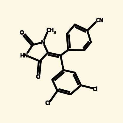 CN1C(=O)NC(=O)C1=C(c1ccc(C#N)cc1)c1cc(Cl)cc(Cl)c1